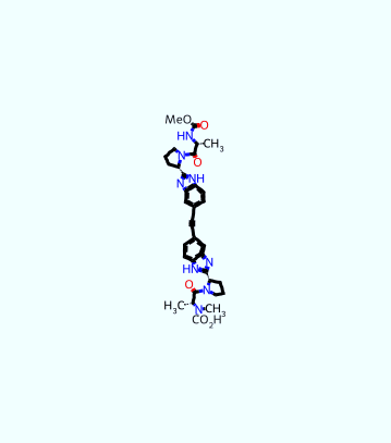 COC(=O)N[C@H](C)C(=O)N1CCC[C@H]1c1nc2cc(C#Cc3ccc4[nH]c([C@@H]5CCCN5C(=O)[C@@H](C)N(C)C(=O)O)nc4c3)ccc2[nH]1